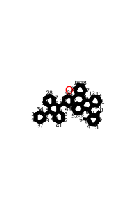 Cc1cccc(C)c1-c1c2ccccc2c(-c2cccc3oc4cc(-c5c6ccccc6c(-c6ccccc6)c6ccccc56)ccc4c23)c2ccccc12